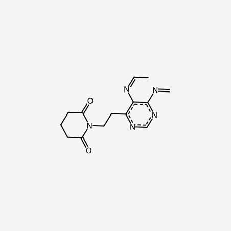 C=Nc1ncnc(CCN2C(=O)CCCC2=O)c1/N=C\C